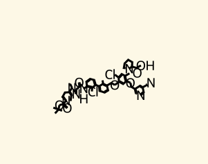 Cc1c(COc2cc(OCc3cncc(C#N)c3)c(CN3CCCCC3C(=O)O)cc2Cl)cccc1-c1cccc(NC(=O)c2nc3c(n2C)CCN(C(=O)OC(C)(C)C)C3)c1Cl